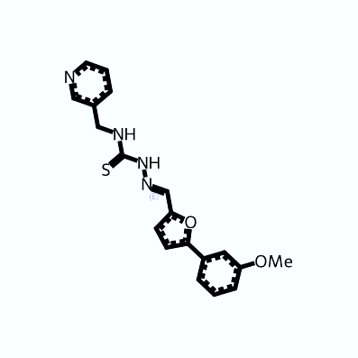 COc1cccc(-c2ccc(/C=N/NC(=S)NCc3cccnc3)o2)c1